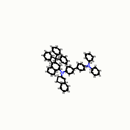 C1=C(N(c2ccc(-c3ccc(N(c4ccccc4)c4ccccc4)cc3)cc2)c2cc3c(c4ccccc24)-c2ccccc2C3(c2ccccc2)c2ccccc2)CCc2ccccc21